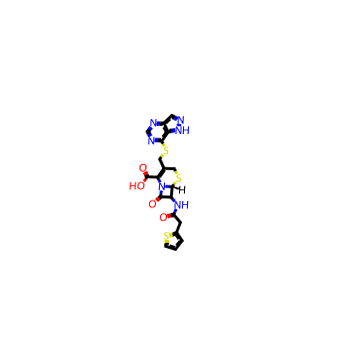 O=C(Cc1cccs1)NC1C(=O)N2C(C(=O)O)=C(CSc3ncnc4cn[nH]c34)CS[C@H]12